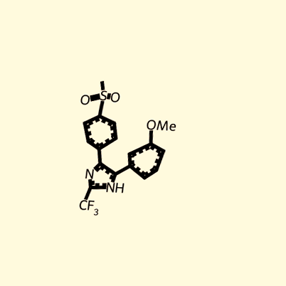 COc1cccc(-c2[nH]c(C(F)(F)F)nc2-c2ccc(S(C)(=O)=O)cc2)c1